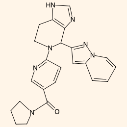 O=C(c1ccc(N2CCc3[nH]cnc3C2c2cc3ccccn3n2)nc1)N1CCCC1